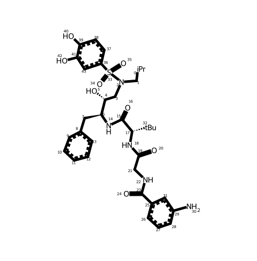 CC(C)CN(C[C@@H](O)[C@H](Cc1ccccc1)NC(=O)[C@@H](NC(=O)CNC(=O)c1cccc(N)c1)C(C)(C)C)S(=O)(=O)c1ccc(O)c(O)c1